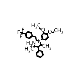 C=C(N)C(C(=C)N(CCc1ccc(C(F)(F)F)cc1)c1ccc(OCC)c(OCC)c1)c1ccccc1